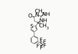 CN1C(=N)N[C@](C)(c2cc(-c3cccc(S(F)(F)(F)(F)F)c3)cs2)CC1=O